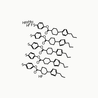 CCCc1ccc(C2CCC(C(=O)Oc3ccc([S])cc3)CC2)cc1.CCCc1ccc(C2CCC(C(=O)Oc3ccc([S])cc3)CC2)cc1.CCCc1ccc(C2CCC(C(=O)Oc3ccc([S])cc3)CC2)cc1.CCCc1ccc(C2CCC(C(=O)Oc3ccc([S])cc3)CC2)cc1.CCCc1ccc(C2CCC(C(=O)Oc3ccc([S])cc3)CC2)cc1.F.F.F.F.F